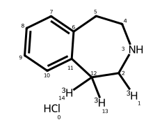 Cl.[3H]C1NCCc2ccccc2C1([3H])[3H]